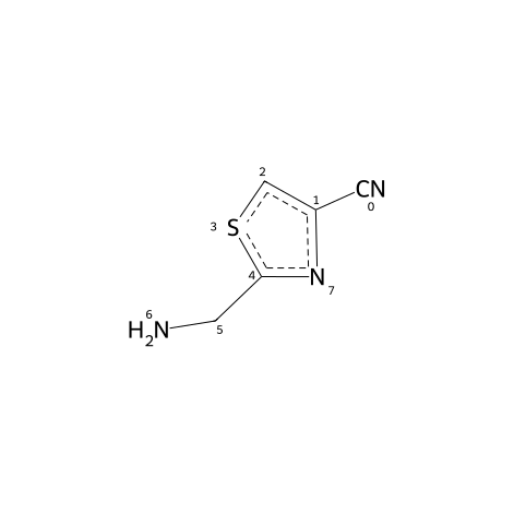 N#Cc1csc(CN)n1